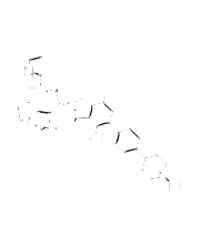 CCN1CCC(c2ccc(-c3cc(Cl)c4c(c3Cl)C(=O)N(C(C(=O)Nc3nccs3)c3ncn5c3CCC5)C4)cc2)CC1